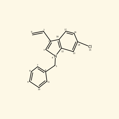 C=Cc1cn(Cc2ccccc2)c2cc(Cl)ccc12